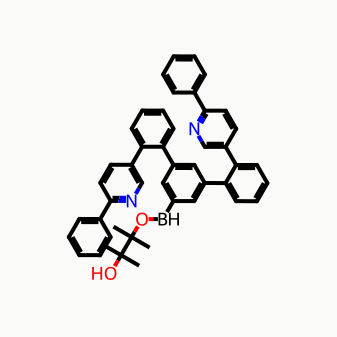 CC(C)(O)C(C)(C)OBc1cc(-c2ccccc2-c2ccc(-c3ccccc3)nc2)cc(-c2ccccc2-c2ccc(-c3ccccc3)nc2)c1